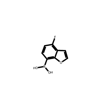 OB(O)c1ccc(F)c2ccoc12